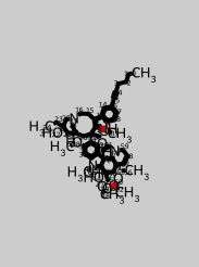 CCCCC#Cc1ccc2[nH]c3c(c2c1)CCN1C[C@H](C[C@@](O)(CC)C1)C[C@]3(C(=O)OC)c1cc2c(cc1OC)N(C)[C@H]1[C@@](O)(C(=O)OC)[C@H](OC(C)=O)[C@]3(CC)C=CCN4CC[C@]21[C@@H]43